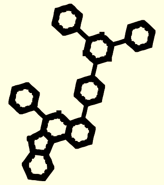 c1ccc(-c2nc(-c3ccccc3)nc(-c3ccc(-c4cccc5c4nc(-c4ccccc4)c4oc6ccccc6c45)cc3)n2)cc1